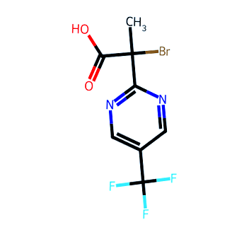 CC(Br)(C(=O)O)c1ncc(C(F)(F)F)cn1